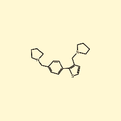 c1cc(CN2CCCC2)c(-c2ccc(CN3CCCC3)cc2)s1